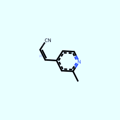 Cc1cc(/C=C\C#N)ccn1